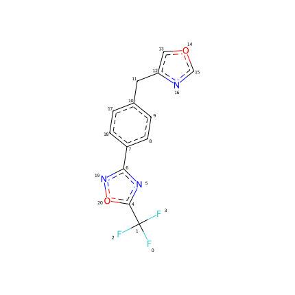 FC(F)(F)c1nc(-c2ccc(Cc3cocn3)cc2)no1